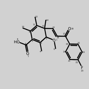 COC1C(C)=C(C(=O)O)C(C)=C(C)C1(C)C=CC(=O)c1ccc(F)cc1